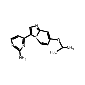 CC(C)Oc1ccn2c(-c3ccnc(N)n3)cnc2c1